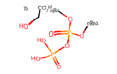 CCCCOP(=O)(OCCCC)OP(=O)(O)O.O=C(O)CO.[Ti]